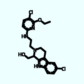 CCOc1nc(NCCN2CCc3c([nH]c4ccc(Cl)cc34)C2CO)ccc1Cl